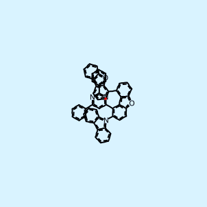 c1ccc(-c2cc(-c3c(-n4c5ccccc5c5ccccc54)ccc4oc5cccc(-c6cccc7c6oc6ccccc67)c5c34)nc(-c3ccccc3)n2)cc1